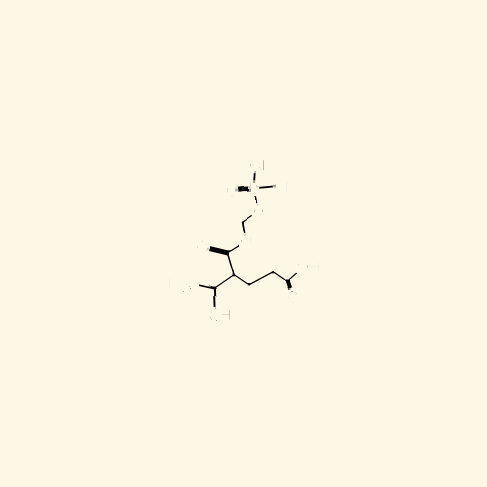 CC(C)C(CCC(=O)O)C(=O)OCOP(C)(=O)O